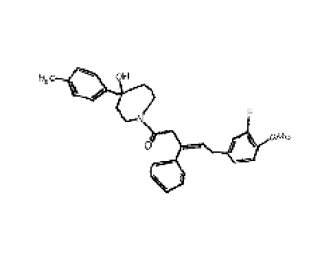 COc1ccc(C/C=C(/CC(=O)N2CCC(O)(c3ccc(C)cc3)CC2)c2ccccc2)cc1F